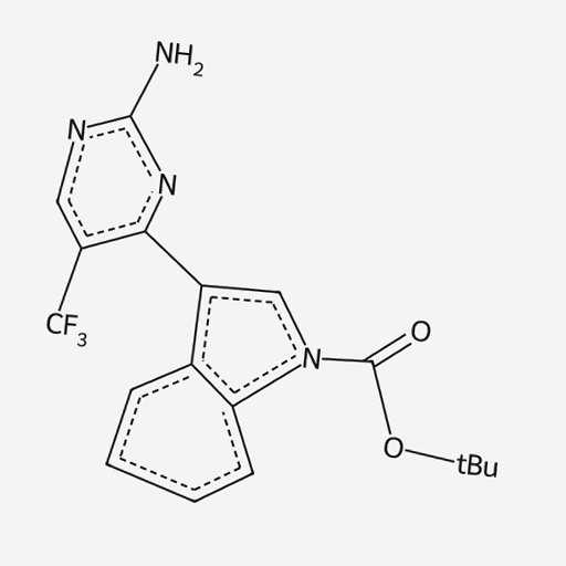 CC(C)(C)OC(=O)n1cc(-c2nc(N)ncc2C(F)(F)F)c2ccccc21